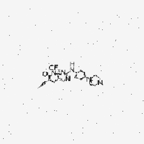 CC#Cc1cc2cnc(Nc3ccc(N4CCN(C)CC4)cc3)nc2n(C(F)(F)F)c1=O